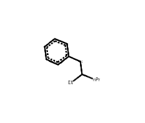 CCCC([C]c1ccccc1)CC